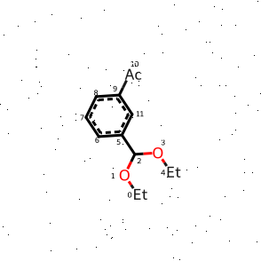 CCOC(OCC)c1cccc(C(C)=O)c1